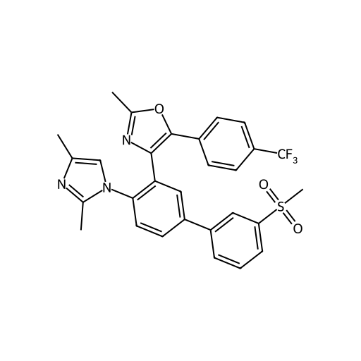 Cc1cn(-c2ccc(-c3cccc(S(C)(=O)=O)c3)cc2-c2nc(C)oc2-c2ccc(C(F)(F)F)cc2)c(C)n1